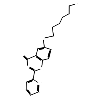 O=c1nc(-c2ccccn2)sc2ccc(OCCCCCCO)cc12